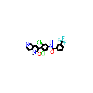 Cn1c(=O)c(-c2c(Cl)cc(NC(=O)c3cccc(C(F)(F)F)c3)cc2Cl)cc2cnccc21